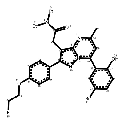 CCN(CC)C(=O)Cc1c(-c2ccc(OCCF)cc2)nn2c(-c3cc(Br)ccc3O)cc(C)nc12